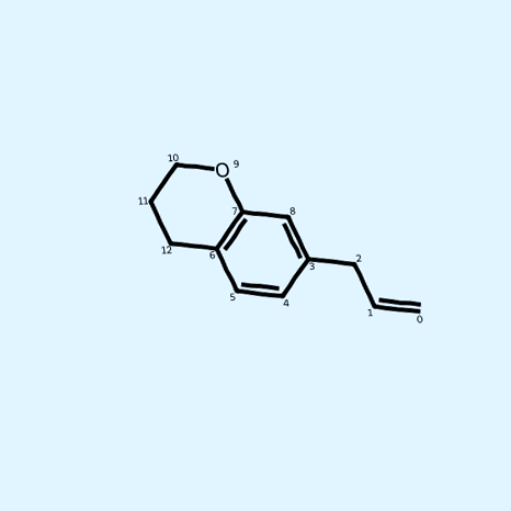 C=CCc1ccc2c(c1)OCCC2